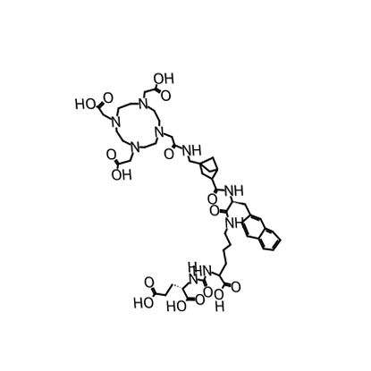 O=C(O)CC[C@H](NC(=O)NC(CCCCNC(=O)[C@H](Cc1ccc2ccccc2c1)NC(=O)C1CC2(CNC(=O)CN3CCN(CC(=O)O)CCN(CC(=O)O)CCN(CC(=O)O)CC3)CC1C2)C(=O)O)C(=O)O